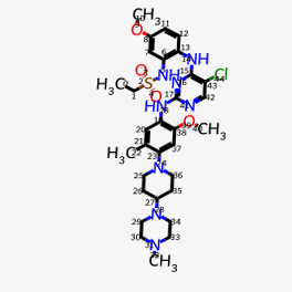 CCS(=O)(=O)Nc1cc(OC)ccc1Nc1nc(Nc2cc(C)c(N3CCC(N4CCN(C)CC4)CC3)cc2OC)ncc1Cl